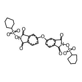 O=C1c2ccc(Oc3ccc4c(c3)C(=O)N(OS(=O)(=O)C3CCCCC3)C4=O)cc2C(=O)N1OS(=O)(=O)C1CCCCC1